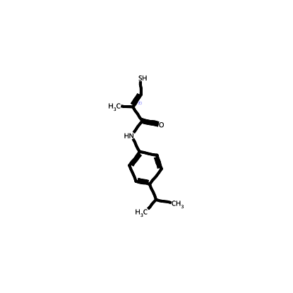 C/C(=C\S)C(=O)Nc1ccc(C(C)C)cc1